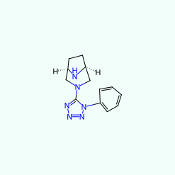 c1ccc(-n2nnnc2N2C[C@H]3CC[C@@H](C2)N3)cc1